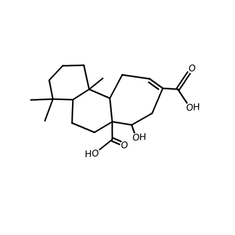 CC1(C)CCCC2(C)C1CCC1(C(=O)O)C(O)CC(C(=O)O)=CCC21